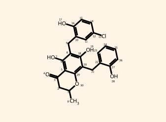 CC1CC(=O)c2c(O)c(Cc3cc(Cl)ccc3O)c(O)c(Cc3ccccc3O)c2O1